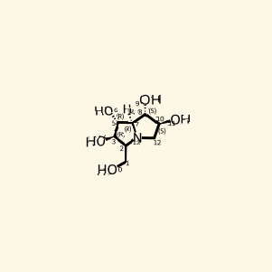 OCC1[C@@H](O)[C@H](O)[C@H]2[C@H](O)[C@@H](O)CN12